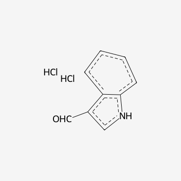 Cl.Cl.O=Cc1c[nH]c2ccccc12